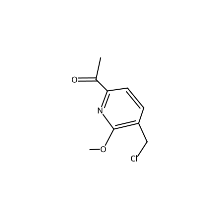 COc1nc(C(C)=O)ccc1CCl